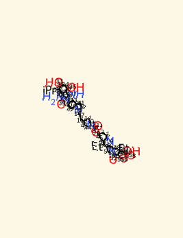 CCc1c2c(nc3ccc(OC(=O)N4CCC(CCCn5ccc6cc(N(C(=N)c7cc(C(C)C)c(O)cc7O)C(N)=O)ccc65)CC4)cc13)-c1cc3c(c(=O)n1C2)COC(=O)[C@@]3(O)CC